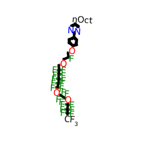 CCCCCCCCc1cnc(-c2ccc(OCC(F)COCC(F)(F)C(F)(F)C(F)(F)C(F)(F)C(F)(F)OC(F)(F)C(F)(F)OC(F)(F)C(F)(F)C(F)(F)C(F)(F)F)cc2)nc1